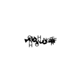 O=C(NCc1ccc(OCC(F)(F)C(F)(F)F)nc1)c1ccnc(NC(=O)C2CC2)c1